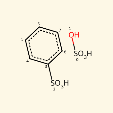 O=S(=O)(O)O.O=S(=O)(O)c1ccccc1